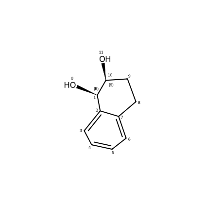 O[C@@H]1c2ccccc2CC[C@@H]1O